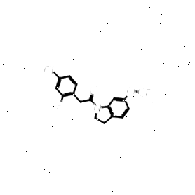 O=C(Cc1ccc(Cl)cc1F)N1CCc2ccc(OC(F)(F)F)cc21